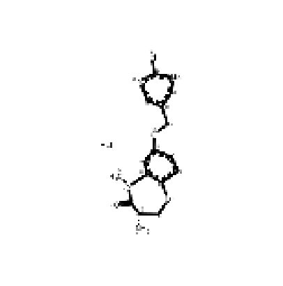 CN1C(=O)[C@@H](N)COc2ccc(OCc3cnc(Cl)nc3)cc21.Cl